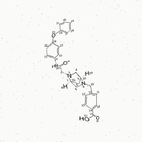 O=C(CN1C[C@@H]2C[C@H]1CN2Cc1ccc(C(=O)O)cc1)Nc1ccc(Oc2ccccc2)cc1